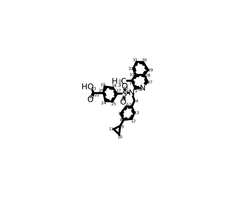 Cc1c(N(Cc2ccc(C3CC3)cc2)S(=O)(=O)c2ccc(C(=O)O)cc2)ncc2ccccc12